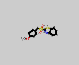 O=S(=O)(Cc1ccc(OC(F)(F)F)cc1)c1nc2ccccc2s1